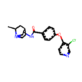 CC1CC2CCN1CC2NC(=O)c1ccc(Oc2ccncc2Cl)cc1